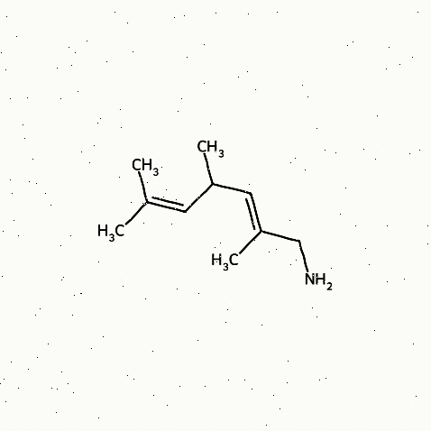 CC(C)=CC(C)/C=C(\C)CN